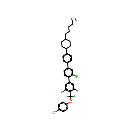 CCCCCC1CCC(c2ccc(-c3ccc(-c4cc(F)c(C(F)(F)Oc5ccc(Cl)cc5)c(F)c4)c(F)c3)cc2)CC1